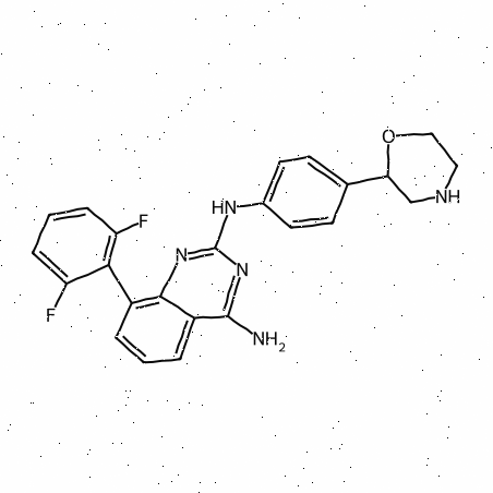 Nc1nc(Nc2ccc(C3CNCCO3)cc2)nc2c(-c3c(F)cccc3F)cccc12